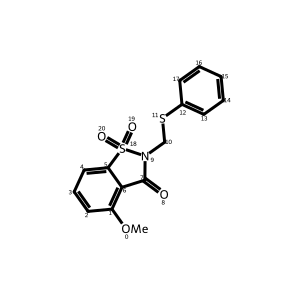 COc1cccc2c1C(=O)N(CSc1ccccc1)S2(=O)=O